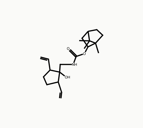 C=CC1CCC(C=C)C1(O)CNC(=O)OC1CC2CCC1(C)C2(C)C